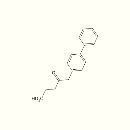 O=C(O)CCC(=O)Cc1ccc(-c2ccccc2)cc1